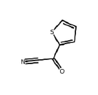 N#CC(=O)c1cccs1